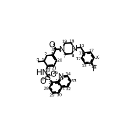 CC1CC(C(=O)N2CCN(Cc3ccc(F)cc3)CC2)=CC=C1NS(=O)(=O)c1cccc2cccnc12